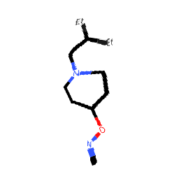 C=NOC1CCN(CC(CC)CC)CC1